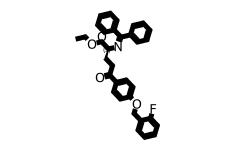 CCOC(=O)[C@H](CCC(=O)c1ccc(OCc2ccccc2F)cc1)N=C(c1ccccc1)c1ccccc1